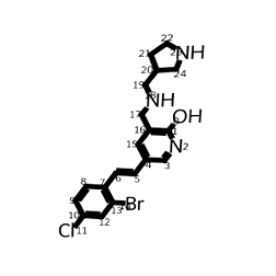 Oc1ncc(C=Cc2ccc(Cl)cc2Br)cc1CNCC1CCNC1